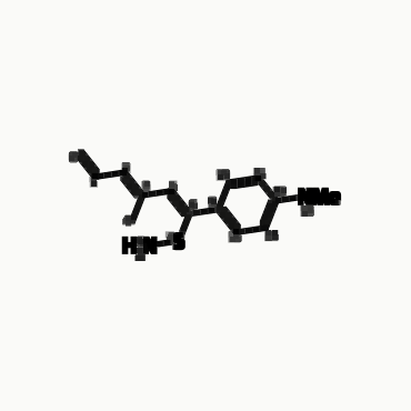 C=C/C=C(C)/C=C(\SN)c1ccc(NC)cc1